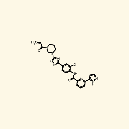 C=CC(=O)N1CCC[C@H](c2nc(-c3ccc(NC(=O)c4cccc(-c5ccn[nH]5)n4)c(Cl)c3)no2)C1